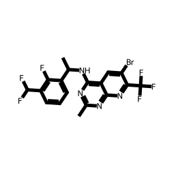 Cc1nc(NC(C)c2cccc(C(F)F)c2F)c2cc(Br)c(C(F)(F)F)nc2n1